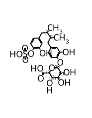 C[C@H](Cc1ccc(OS(=O)(=O)O)c(O)c1)[C@@H](C)Cc1ccc(O[C@@H]2O[C@H](C(=O)O)[C@@H](O)[C@H](O)[C@H]2O)c(O)c1